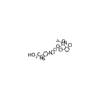 O=C(O)c1nsc2cc(N3CCC4(CC(OCc5c(-c6c(Cl)cccc6Cl)noc5C5CC5)C4)C3)ccc12